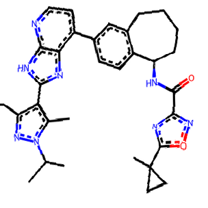 Cc1nn(C(C)C)c(C)c1-c1nc2c(-c3ccc4c(c3)CCCC[C@H]4NC(=O)c3noc(C4(C)CC4)n3)ccnc2[nH]1